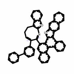 C1=C(c2cccc(-c3ccccc3)c2)\C(c2cc3ccccc3c3c4ccccc4c4c5cc6ccccc6cc5oc4c23)=N/c2oc3ccccc3c2CC/1